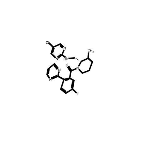 CC1CCCN(C(=O)c2cc(F)ccc2-c2ncccn2)[C@@H]1CNc1ncc(Cl)cn1